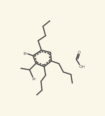 CCCCc1cc(CCCC)c(CCCC)c(C(C)Br)c1Br.O=CO